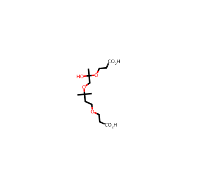 CC(C)(CCOCCC(=O)O)OCC(C)(O)OCCC(=O)O